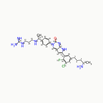 CC(N)CCCc1cc(Cl)c(F)c(-c2cc3cn(-c4ccc(C(C)NCCCNC(=N)N)cc4)c(=O)nc3[nH]2)c1